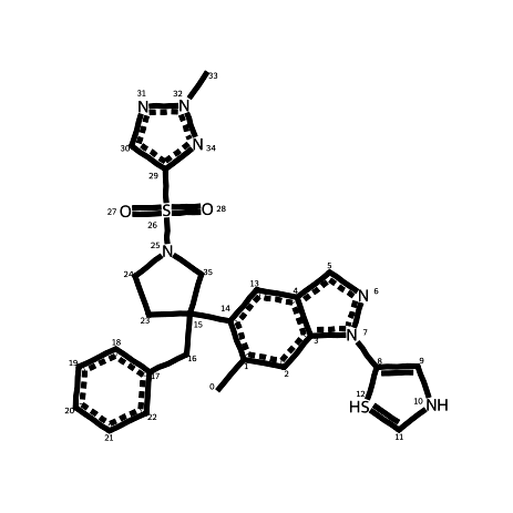 Cc1cc2c(cnn2C2=CNC=[SH]2)cc1C1(Cc2ccccc2)CCN(S(=O)(=O)c2cnn(C)n2)C1